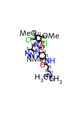 CNc1ncc2c(n1)N(C1CCC(NC(=O)/C=C/CN(C)C)CC1)C(=O)N(c1c(Cl)c(OC)cc(OC)c1Cl)C2